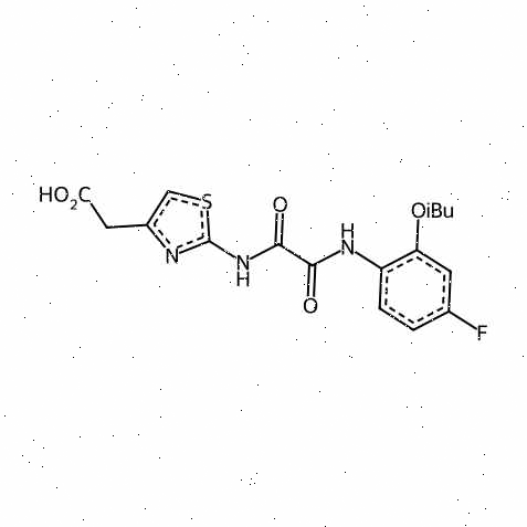 CC(C)COc1cc(F)ccc1NC(=O)C(=O)Nc1nc(CC(=O)O)cs1